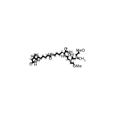 COCCN(C)CC(=O)N(CCOC)CC(=O)N[C@@H](CCCCNC(=O)CCCCC1SC[C@@H]2CC(=O)N[C@H]12)C(N)=O